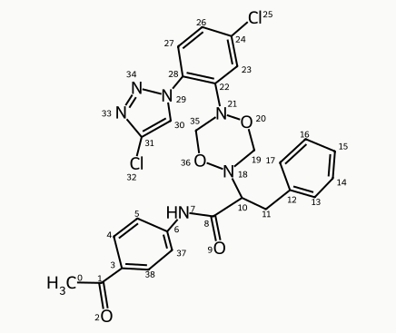 CC(=O)c1ccc(NC(=O)C(Cc2ccccc2)N2CON(c3cc(Cl)ccc3-n3cc(Cl)nn3)CO2)cc1